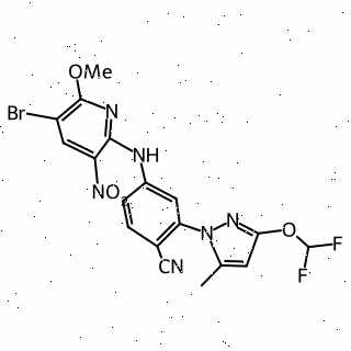 COc1nc(Nc2ccc(C#N)c(-n3nc(OC(F)F)cc3C)c2)c([N+](=O)[O-])cc1Br